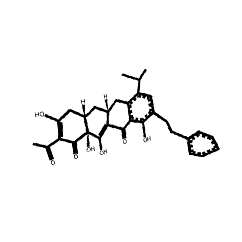 CC(=O)C1=C(O)C[C@@H]2C[C@@H]3Cc4c(C(C)C)cc(CCc5ccccc5)c(O)c4C(=O)C3=C(O)[C@]2(O)C1=O